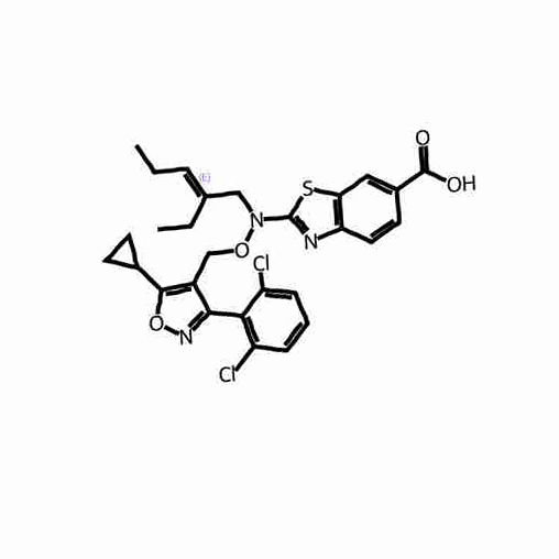 CC/C=C(\CC)CN(OCc1c(-c2c(Cl)cccc2Cl)noc1C1CC1)c1nc2ccc(C(=O)O)cc2s1